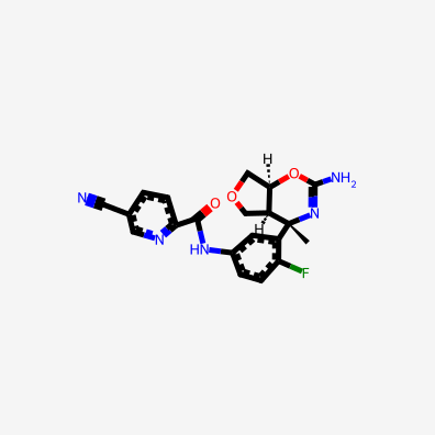 C[C@]1(c2cc(NC(=O)c3ccc(C#N)cn3)ccc2F)N=C(N)O[C@@H]2COC[C@@H]21